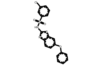 O=S(=O)(Nc1nc2ccc(Oc3ccccc3)cc2s1)c1cccc(Cl)c1